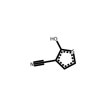 N#Cc1ccsc1O